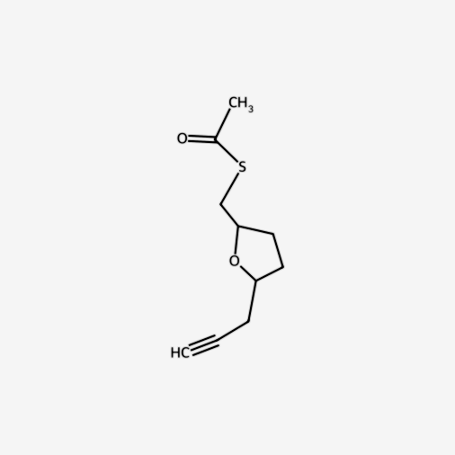 C#CCC1CCC(CSC(C)=O)O1